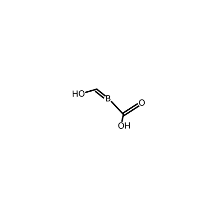 O=C(O)/B=C/O